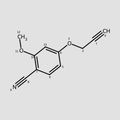 C#CCOc1ccc(C#N)c(OC)c1